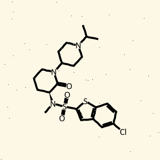 CC(C)N1CCC(N2CCC[C@H](N(C)S(=O)(=O)c3cc4cc(Cl)ccc4s3)C2=O)CC1